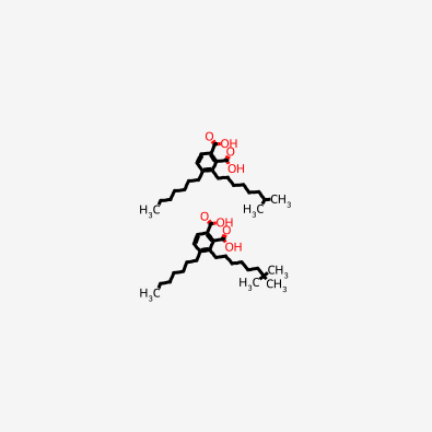 CCCCCCCc1ccc(C(=O)O)c(C(=O)O)c1CCCCCCC(C)(C)C.CCCCCCCc1ccc(C(=O)O)c(C(=O)O)c1CCCCCCC(C)C